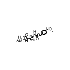 CON=C(C(N)=O)c1csc(NC(=O)OCc2ccc([N+](=O)[O-])cc2)n1